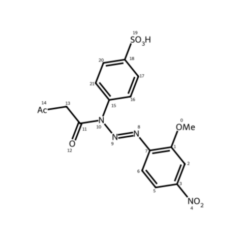 COc1cc([N+](=O)[O-])ccc1N=NN(C(=O)CC(C)=O)c1ccc(S(=O)(=O)O)cc1